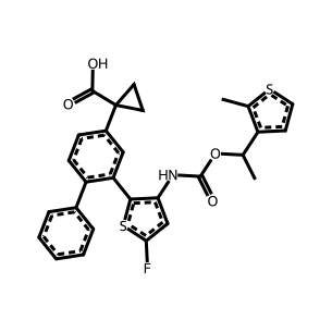 Cc1sccc1C(C)OC(=O)Nc1cc(F)sc1-c1cc(C2(C(=O)O)CC2)ccc1-c1ccccc1